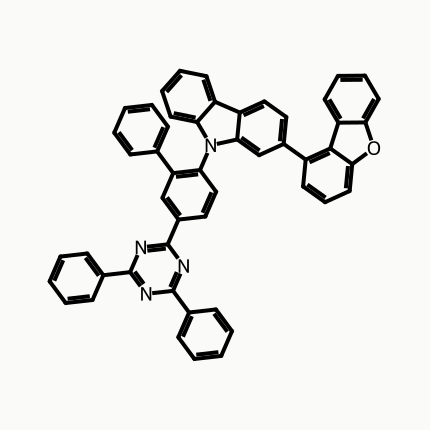 c1ccc(-c2nc(-c3ccccc3)nc(-c3ccc(-n4c5ccccc5c5ccc(-c6cccc7oc8ccccc8c67)cc54)c(-c4ccccc4)c3)n2)cc1